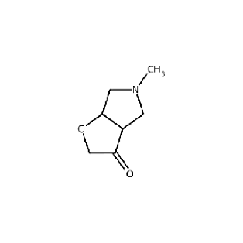 CN1CC2OCC(=O)C2C1